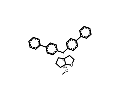 CO[C@]12CCC[C@@]1(C(c1ccc(-c3ccccc3)cc1)c1ccc(-c3ccccc3)cc1)CCO2